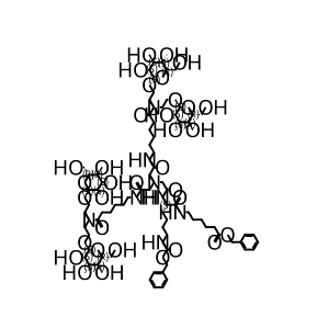 O=C(CN(CC(=O)NCCCCCC(=O)N(CCO[C@H]1O[C@H](CO)[C@@H](O)[C@H](O)[C@@H]1O)CCO[C@H]1O[C@H](CO)[C@@H](O)[C@H](O)[C@@H]1O)CC(=O)N[C@@H](CCCCNC(=O)OCc1ccccc1)C(=O)NCCCCCC(=O)OCc1ccccc1)NCCCCCC(=O)N(CCO[C@H]1O[C@H](CO)[C@@H](O)[C@H](O)[C@@H]1O)CCO[C@H]1O[C@H](CO)[C@@H](O)[C@H](O)[C@@H]1O